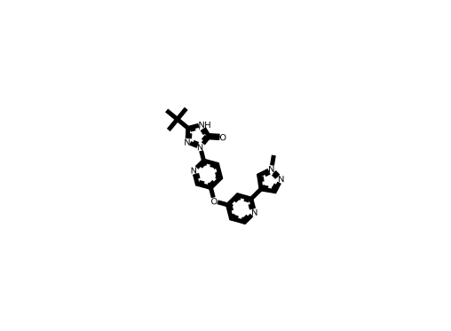 Cn1cc(-c2cc(Oc3ccc(-n4nc(C(C)(C)C)[nH]c4=O)nc3)ccn2)cn1